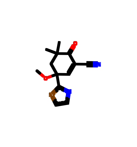 COC1(c2nccs2)C=C(C#N)C(=O)C(C)(C)C1